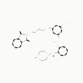 CCOC(=O)N1CCN(S(=O)(=O)c2ccccc2S(=O)(=O)Oc2cc(C)cc(OCCCON3C(=O)c4ccccc4C3=O)c2)CC1